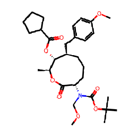 COCN(C(=O)OC(C)(C)C)[C@H]1CCC[C@H](Cc2ccc(OC)cc2)[C@@H](OC(=O)C2CCCC2)[C@H](C)OC1=O